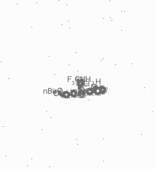 CCCCOC(=O)CN1CCC(C2CCN(C(=O)[C@@H](Cc3cc(Cl)c(N)c(C(F)(F)F)c3)OC(=O)N3CCC(N4CCc5ccccc5NC4=O)CC3)CC2)CC1